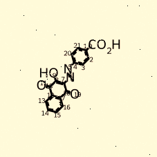 O=C(O)c1ccc(/N=N/C2=C(O)C(=O)c3ccccc3C2=O)cc1